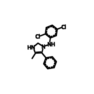 CC1=C(c2ccccc2)N(Nc2cc(Cl)ccc2Cl)CN1